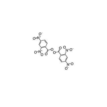 O=C(OOC(=O)c1ccc([N+](=O)[O-])cc1[N+](=O)[O-])c1ccc([N+](=O)[O-])cc1[N+](=O)[O-]